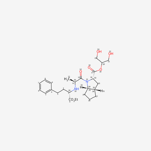 CCOC(=O)[C@H](CCc1ccccc1)N[C@@H](C)C(=O)N1[C@H](C(=O)OC(CO)CO)C[C@@H]2CCC[C@@H]21